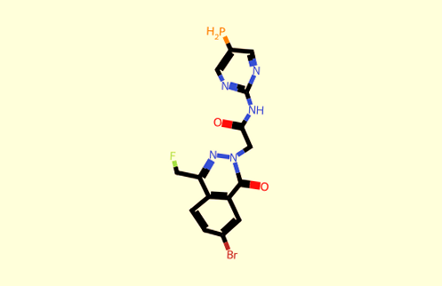 O=C(Cn1nc(CF)c2ccc(Br)cc2c1=O)Nc1ncc(P)cn1